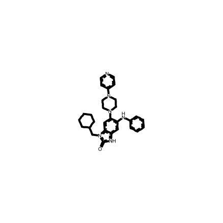 O=c1[nH]c2cc(Nc3ccccc3)c(N3CCN(c4ccncc4)CC3)cc2n1CC1CCCCC1